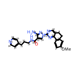 COc1ccc2c(c1)CCc1cnc(-n3cc(C(=O)NCCCc4ccncc4)c(N)n3)nc1-2